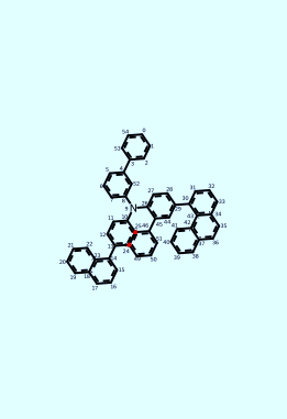 c1ccc(-c2cccc(N(c3ccc(-c4cccc5ccccc45)cc3)c3ccc(-c4cccc5ccc6ccccc6c45)cc3-c3ccccc3)c2)cc1